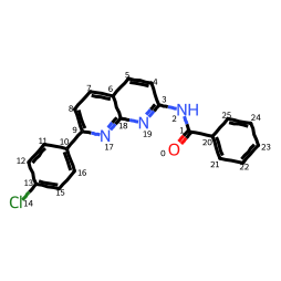 O=C(Nc1ccc2ccc(-c3ccc(Cl)cc3)nc2n1)c1ccccc1